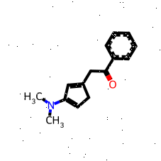 CN(C)C1=CCC(CC(=O)c2ccccc2)=C1